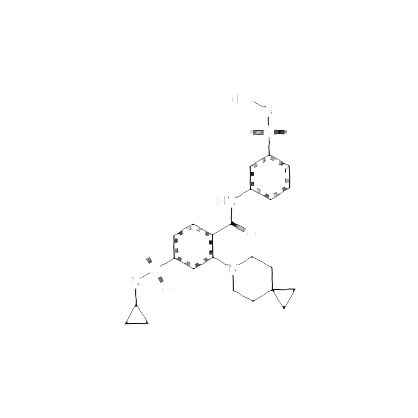 CC(C)(C)NS(=O)(=O)c1cccc(NC(=O)c2ccc(S(=O)(=O)NC3CC3)cc2N2CCC3(CC2)CC3)c1